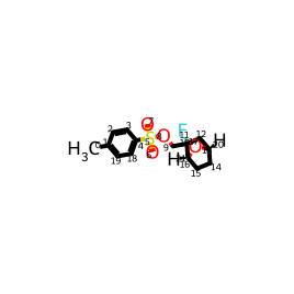 Cc1ccc(S(=O)(=O)OC[C@]2(F)C[C@@H]3CC[C@H]2O3)cc1